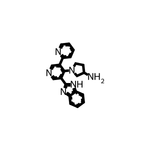 NC1CCN(c2c(-c3ccccn3)cncc2-c2nc3ccccc3[nH]2)C1